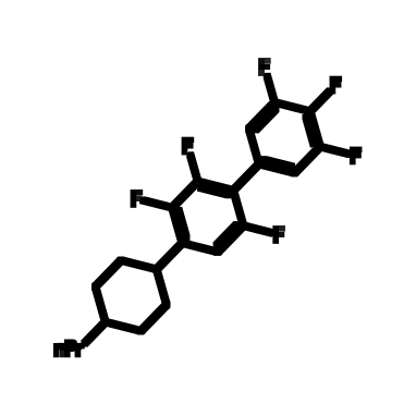 CCCC1CCC(c2cc(F)c(-c3cc(F)c(F)c(F)c3)c(F)c2F)CC1